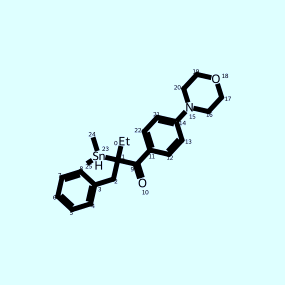 CC[C](Cc1ccccc1)(C(=O)c1ccc(N2CCOCC2)cc1)[SnH]([CH3])[CH3]